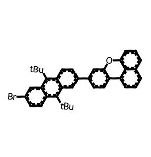 CC(C)(C)c1c2ccc(-c3ccc4c(c3)Oc3cccc5cccc-4c35)cc2c(C(C)(C)C)c2ccc(Br)cc12